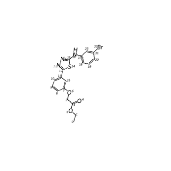 CCOC(=O)COc1cccc(-c2nnc(Nc3cccc(Br)c3)s2)c1